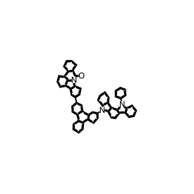 O=c1c2ccccc2c2cccc3c4cc(-c5ccc6c7ccccc7c7ccc(-n8c9ccccc9c9c8ccc8c%10ccccc%10n(-c%10ccccc%10)c89)cc7c6c5)ccc4n1c23